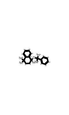 [2H]C1([2H])CCC([2H])(OC([2H])([2H])c2ccccc2)c2ccccc21